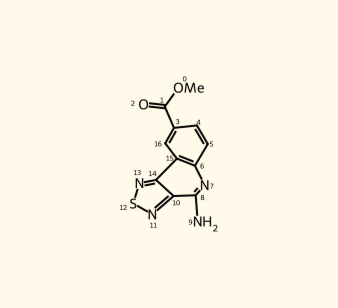 COC(=O)c1ccc2nc(N)c3nsnc3c2c1